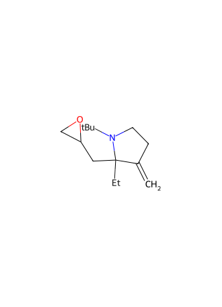 C=C1CCN(C(C)(C)C)C1(CC)CC1CO1